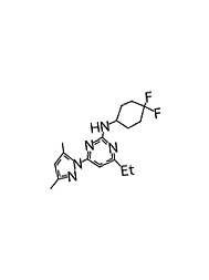 CCc1cc(-n2nc(C)cc2C)nc(NC2CCC(F)(F)CC2)n1